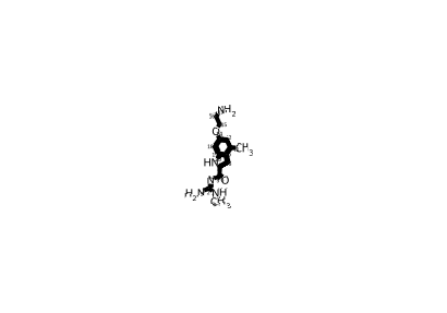 CNC(N)=NC(=O)c1cc2c(C)cc(OCCN)cc2[nH]1